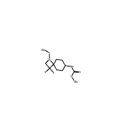 CC(C)(C)OC(=O)NC1CCC2(CC1)N(SC(C)(C)C)CC2(F)F